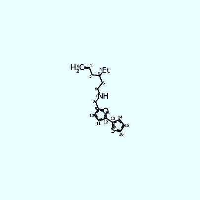 C=CCC(CC)CCNCc1ccc(-c2cccs2)o1